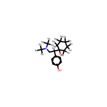 [2H]C([2H])([2H])N(CC([2H])(c1ccc(O)cc1)C1(O)C([2H])([2H])C([2H])([2H])C([2H])([2H])C([2H])([2H])C1([2H])[2H])C([2H])([2H])[2H]